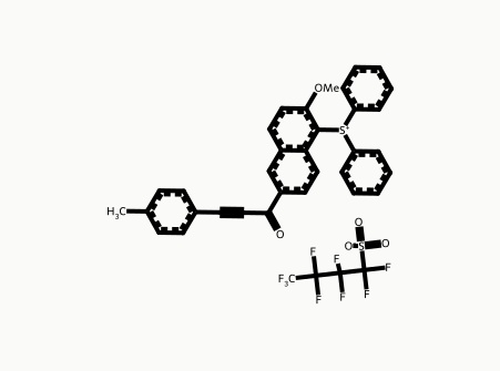 COc1ccc2cc(C(=O)C#Cc3ccc(C)cc3)ccc2c1[S+](c1ccccc1)c1ccccc1.O=S(=O)([O-])C(F)(F)C(F)(F)C(F)(F)C(F)(F)F